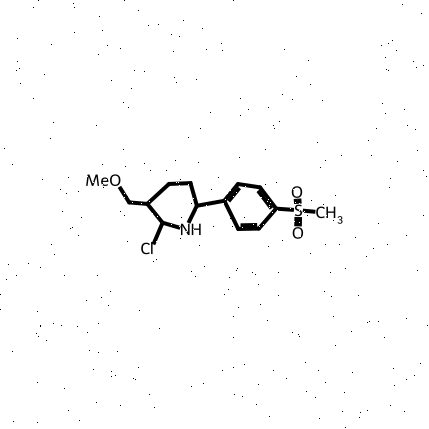 COCC1CCC(c2ccc(S(C)(=O)=O)cc2)NC1Cl